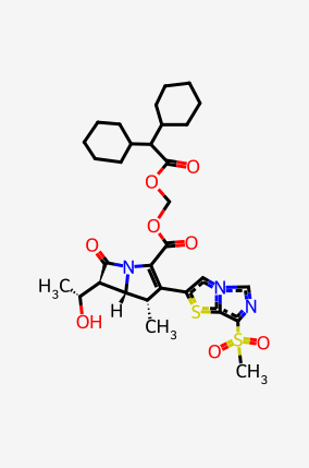 C[C@@H](O)[C@H]1C(=O)N2C(C(=O)OCOC(=O)C(C3CCCCC3)C3CCCCC3)=C(c3cn4cnc(S(C)(=O)=O)c4s3)[C@H](C)[C@H]12